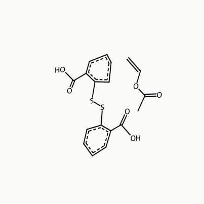 C=COC(C)=O.O=C(O)c1ccccc1SSc1ccccc1C(=O)O